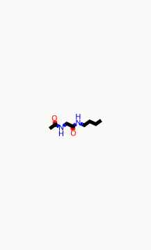 CCCCNC(=O)CNC(C)=O